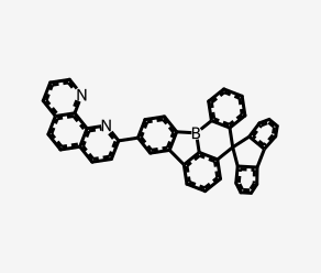 c1ccc2c(c1)B1c3ccc(-c4ccc5ccc6cccnc6c5n4)cc3-c3cccc(c31)C21c2ccccc2-c2ccccc21